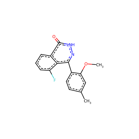 COc1cc(C)ccc1-c1n[nH]c(=O)c2cccc(F)c12